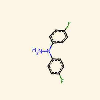 NN(c1ccc(F)cc1)c1ccc(F)cc1